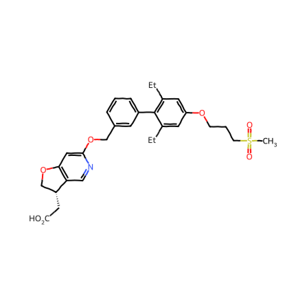 CCc1cc(OCCCS(C)(=O)=O)cc(CC)c1-c1cccc(COc2cc3c(cn2)[C@H](CC(=O)O)CO3)c1